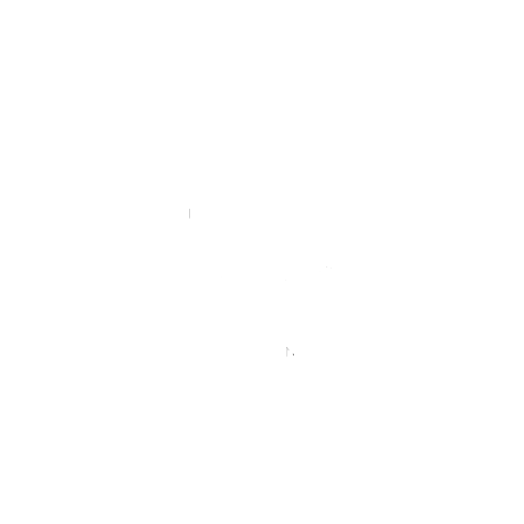 Brc1c(-c2ccccc2I)sc2cccnc12